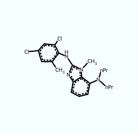 CCCN(CCC)c1cccc2nc(Nc3c(C)cc(Cl)cc3Cl)n(C)c12